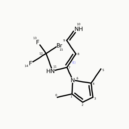 Cc1ccc(C)n1/C(=C/C=N)NC(F)(F)Br